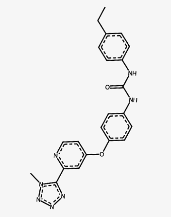 CCc1ccc(NC(=O)Nc2ccc(Oc3ccnc(-c4nnnn4C)c3)cc2)cc1